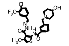 Cc1csc(NC(=O)c2cccc(CN3CCC(O)CC3)c2)c1C(=O)NN=Cc1ccc(Cl)c(C(F)(F)F)c1